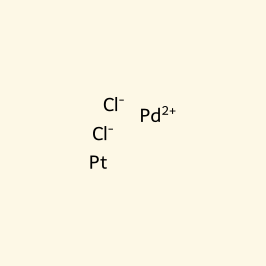 [Cl-].[Cl-].[Pd+2].[Pt]